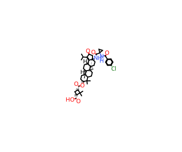 CC(C)C1=C2[C@H]3CC[C@@H]4[C@@]5(C)CC[C@H](OC(=O)[C@H]6C[C@@H](C(=O)O)C6(C)C)C(C)(C)C5CC[C@@]4(C)[C@]3(C)CC[C@@]2(NC(=O)C2(NC(=O)c3ccc(Cl)cc3)CC2)CC1=O